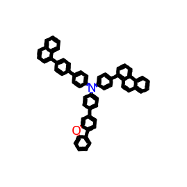 c1ccc2c(-c3ccc(-c4ccc(N(c5ccc(-c6ccc7c(c6)oc6ccccc67)cc5)c5ccc(-c6cccc7c6ccc6ccccc67)cc5)cc4)cc3)cccc2c1